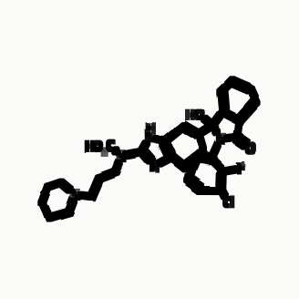 O=C(O)N(CCCN1CCCCC1)c1nc2ccc(C3(O)c4ccccc4C(=O)N3c3cccc(Cl)c3F)cc2[nH]1